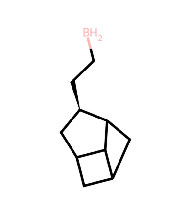 BCC[C@@H]1CC2CC3CC1C32